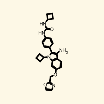 Nc1c(-c2ccc(NC(=O)NC3CCC3)cc2)n(C2CCC2)c2cc(OCc3ncco3)ccc12